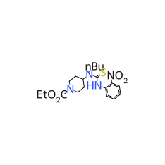 CCCCN(C(=S)Nc1ccccc1[N+](=O)[O-])C1CCN(C(=O)OCC)CC1